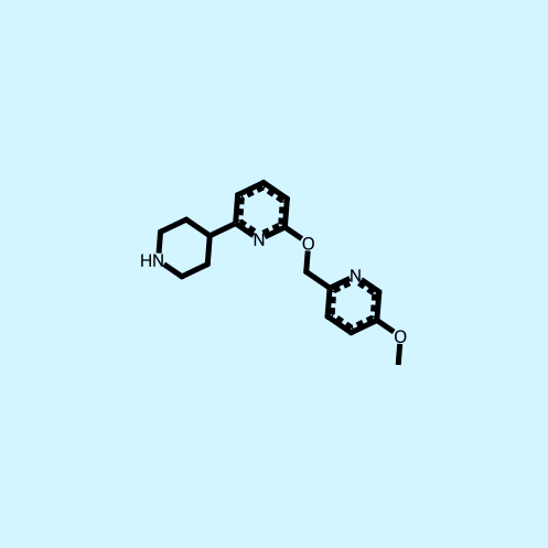 COc1ccc(COc2cccc(C3CCNCC3)n2)nc1